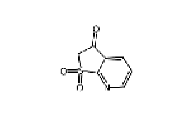 O=C1CS(=O)(=O)c2ncccc21